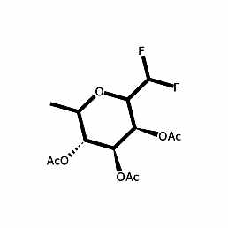 CC(=O)O[C@H]1[C@H](OC(C)=O)C(C)OC(C(F)F)[C@H]1OC(C)=O